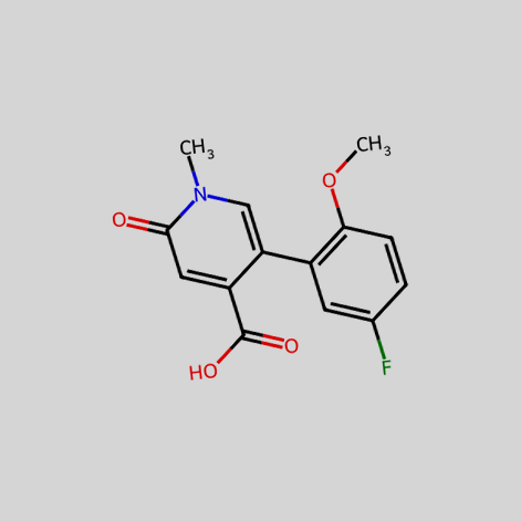 COc1ccc(F)cc1-c1cn(C)c(=O)cc1C(=O)O